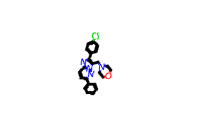 Clc1ccc(-c2nc3ccc(-c4ccccc4)nn3c2CN2CCOCC2)cc1